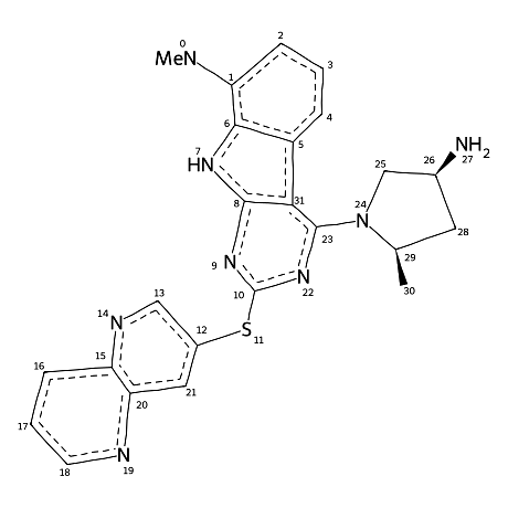 CNc1cccc2c1[nH]c1nc(Sc3cnc4cccnc4c3)nc(N3C[C@@H](N)C[C@H]3C)c12